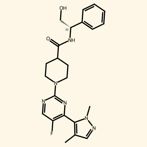 Cc1cnn(C)c1-c1nc(N2CCC(C(=O)N[C@H](CO)c3ccccc3)CC2)ncc1F